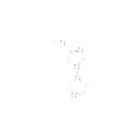 Nc1cn(-n2ccnc2)cn1